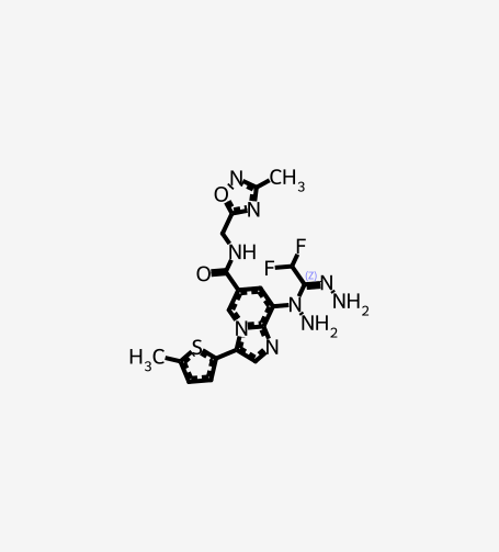 Cc1noc(CNC(=O)c2cc(N(N)/C(=N\N)C(F)F)c3ncc(-c4ccc(C)s4)n3c2)n1